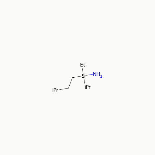 CC[Si](N)(CCC(C)C)C(C)C